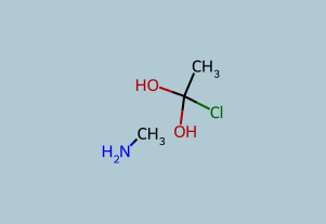 CC(O)(O)Cl.CN